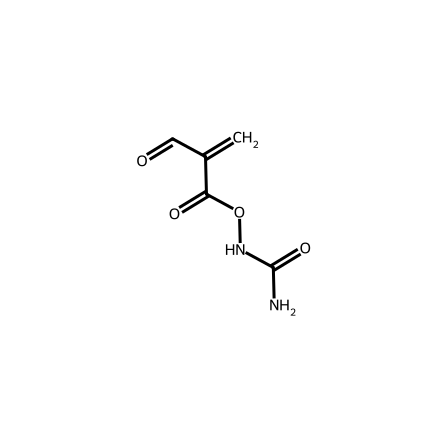 C=C(C=O)C(=O)ONC(N)=O